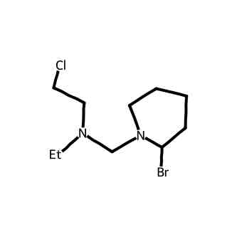 CCN(CCCl)CN1CCCCC1Br